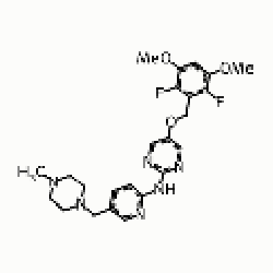 COc1cc(OC)c(F)c(COc2cnc(Nc3ccc(CN4CCN(C)CC4)cn3)nc2)c1F